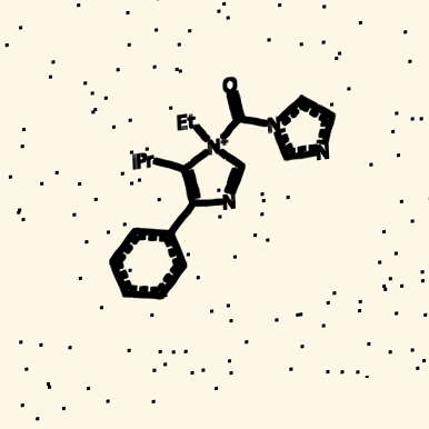 CC[N+]1(C(=O)n2ccnc2)C=NC(c2ccccc2)=C1C(C)C